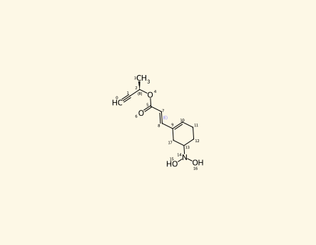 C#C[C@@H](C)OC(=O)/C=C/C1=CCCC(N(O)O)C1